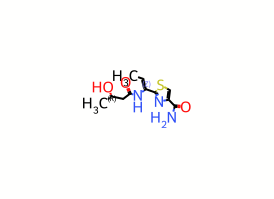 C/C=C(\NC(=O)C[C@@H](C)O)c1nc(C(N)=O)cs1